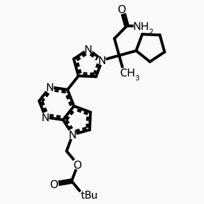 CC(C)(C)C(=O)OCn1ccc2c(-c3cnn(C(C)(CC(N)=O)C4CCCC4)c3)ncnc21